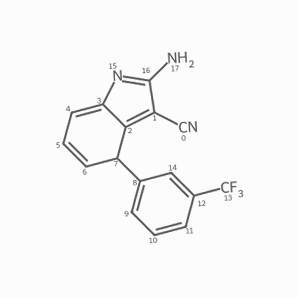 N#CC1=C2C(=CC=CC2c2cccc(C(F)(F)F)c2)N=C1N